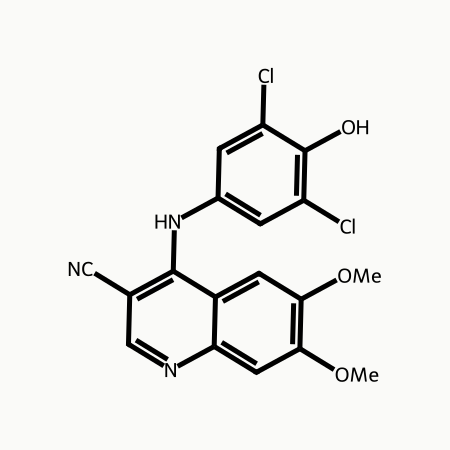 COc1cc2ncc(C#N)c(Nc3cc(Cl)c(O)c(Cl)c3)c2cc1OC